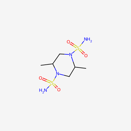 CC1CN(S(N)(=O)=O)C(C)CN1S(N)(=O)=O